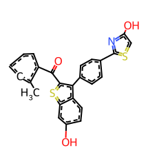 Cc1ccccc1C(=O)c1sc2cc(O)ccc2c1-c1ccc(-c2nc(O)cs2)cc1